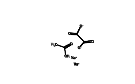 CC(=O)O.O=C([O-])C(=O)[O-].[Na+].[Na+]